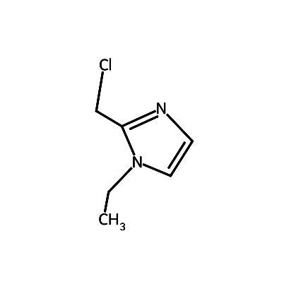 CCn1ccnc1CCl